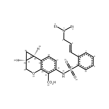 CCN(CC)CC=Cc1ccccc1S(=O)(=O)Nc1ccc2c(c1C(=O)O)OC[C@H]1C[C@@H]21